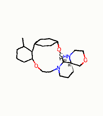 CC1CCCC2OCCN3CCC[C@]4(COCCN4)[C@H]3COC3CCC(CC3)C12